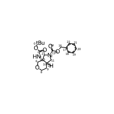 CC(C)(C)OC(=O)N[C@@]12COCC[C@H]1CN(C(=O)OCc1ccccc1)C2